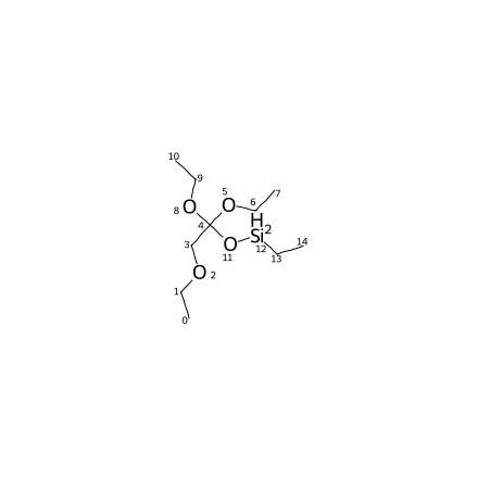 CCOCC(OCC)(OCC)O[SiH2]CC